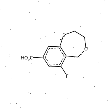 O=C(O)c1cc(F)c2c(c1)SCCOC2